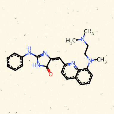 CN(C)CCN(C)c1cccc2ccc(C=C3N=C(Nc4ccccc4)NC3=O)nc12